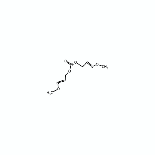 CO/N=C/CO[PH](=O)OC/C=N/OC